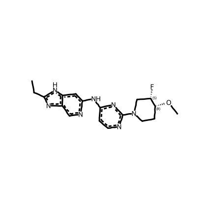 CCc1nc2cnc(Nc3ccnc(N4CC[C@@H](OC)[C@@H](F)C4)n3)cc2[nH]1